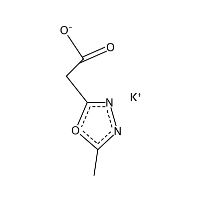 Cc1nnc(CC(=O)[O-])o1.[K+]